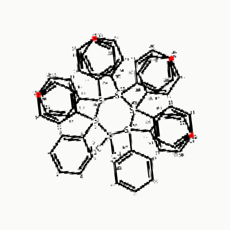 C[Si]1(C)[Si](c2ccccc2)(c2ccccc2)[Si](c2ccccc2)(c2ccccc2)[Si](c2ccccc2)(c2ccccc2)[Si](c2ccccc2)(c2ccccc2)[Si]1(c1ccccc1)c1ccccc1